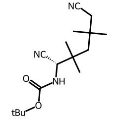 CC(C)(CC#N)CC(C)(C)[C@@H](C#N)NC(=O)OC(C)(C)C